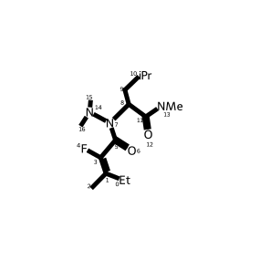 CC/C(C)=C(/F)C(=O)N(C(CC(C)C)C(=O)NC)N(C)C